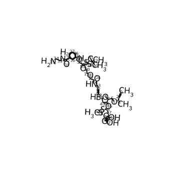 CC#CC(C)OCC1O[C@@H](BC#CCNC(=O)COCCOC(COc2cccc(C(=O)NCCN)c2)SSC(C)(C)C)C[C@H]1O[C@@H](COP(=O)(O)O)SSC